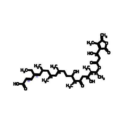 C=C1OC(=O)C([C@H](O)CC(=O)O[C@H](C)[C@@H](C)[C@H](O)CC(=O)[C@@H](C)C(O)CC[C@H](C)C[C@@H](C)CC(C)/C=C(/C=C/C(=O)O)CC)=C1C